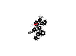 Cc1ccccc1-c1ccc2c(c1)C1(C)CCCCC1(C)N2c1ccc2c(c1)N(c1ccc(C(C)(C)C)cc1C)c1cc(C(C)(C)C)cc3c1B2c1cc2c(cc1N3c1ccc(C(C)(C)C)cc1-c1ccccc1)C(C)(C)CCC2(C)C